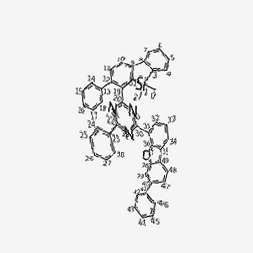 C[Si]1(C)c2ccccc2-c2ccc(-c3ccccc3)c(-c3nc(-c4ccccc4)nc(-c4cccc5c4oc4cc(-c6ccccc6)ccc45)n3)c21